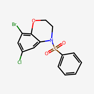 O=S(=O)(c1ccccc1)N1CCOc2c(Br)cc(Cl)cc21